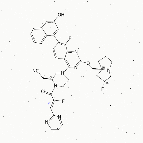 N#CC[C@H]1CN(c2nc(OC[C@@]34CCCN3C[C@H](F)C4)nc3c(F)c(-c4cc(O)cc5ccccc45)ccc23)CCN1C(=O)/C(F)=C/c1ncccn1